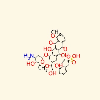 COc1cccc2c1C(=O)c1c(O)c3c(c(O)c1C2=O)C[C@@](O)(C(=O)CO)C[C@@H]3O[C@H]1C[C@H](N)[C@H](O)[C@H](C)O1.O=S(=O)(O)c1ccc2ccccc2c1